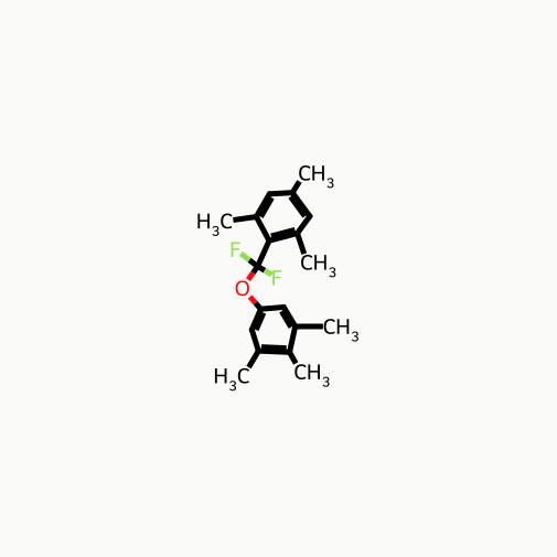 Cc1cc(C)c(C(F)(F)Oc2cc(C)c(C)c(C)c2)c(C)c1